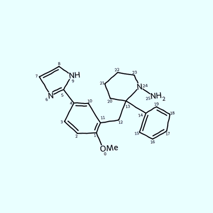 COc1ccc(-c2ncc[nH]2)cc1CC1(c2ccccc2)CCCCN1N